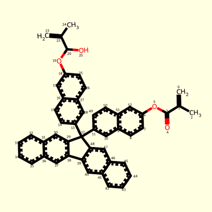 C=C(C)C(=O)Oc1ccc2cc(C3(c4ccc5cc(OC(O)C(=C)C)ccc5c4)c4cc5ccccc5cc4-c4cc5ccccc5cc43)ccc2c1